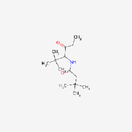 CCC(=O)C(NC(=O)CC(C)(C)C)C(C)(C)C